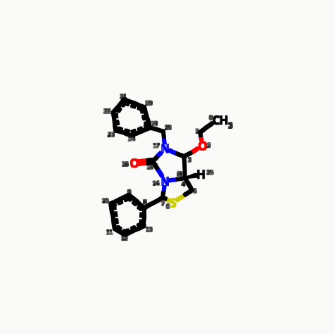 CCOC1[C@@H]2CSC(c3ccccc3)N2C(=O)N1Cc1ccccc1